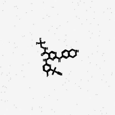 CC(C)(C#N)c1nc(Nc2nc(Nc3ccc4c(c3)CCNC4)ncc2C(=O)NCC(F)(F)F)ccc1F